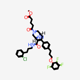 COC(=O)CCCC(=O)N1C[C@H]2CC(c3ccc(CCCOc4c(F)ccc(F)c4F)cc3)=C(C(=O)NCCCc3ccccc3Cl)[C@@H](C1)N2